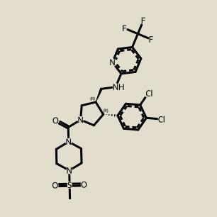 CS(=O)(=O)N1CCN(C(=O)N2C[C@@H](CNc3ccc(C(F)(F)F)cn3)[C@H](c3ccc(Cl)c(Cl)c3)C2)CC1